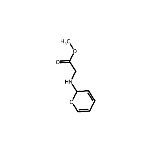 COC(=O)CNC1C=CC=CO1